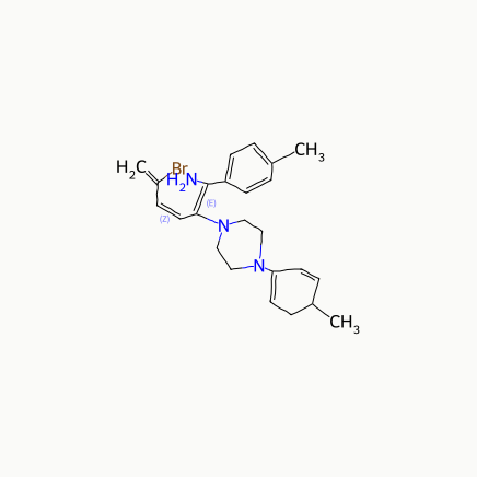 C=C(Br)/C=C\C(=C(/N)c1ccc(C)cc1)N1CCN(C2=CCC(C)C=C2)CC1